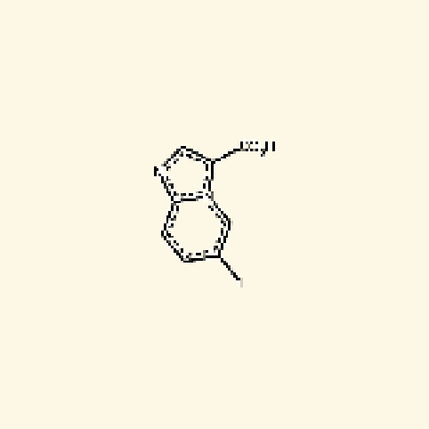 O=C(O)c1cnc2ccc(I)cn12